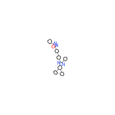 c1ccc(-c2nnc(-c3ccc(-c4ccc(-c5nc6cc(-c7ccccc7)c(-c7ccccc7)cc6nc5-c5ccccc5)cc4)cc3)o2)cc1